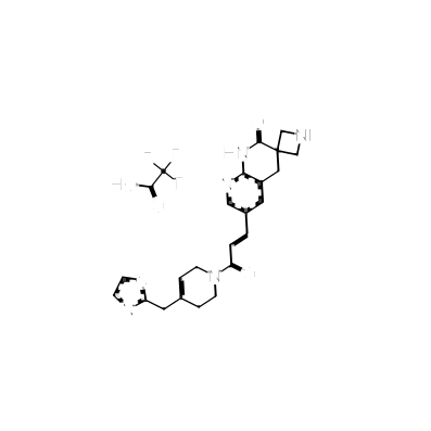 O=C(/C=C/c1cnc2c(c1)CC1(CNC1)C(=O)N2)N1CC=C(Cc2nccs2)CC1.O=C(O)C(F)(F)F